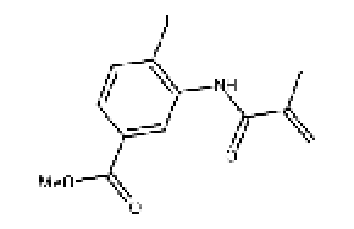 C=C(C)C(=O)Nc1cc(C(=O)OC)ccc1I